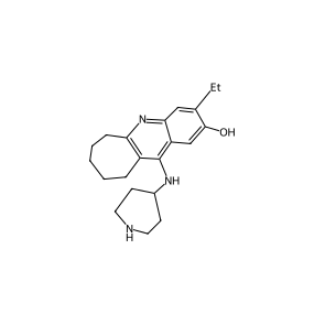 CCc1cc2nc3c(c(NC4CCNCC4)c2cc1O)CCCCC3